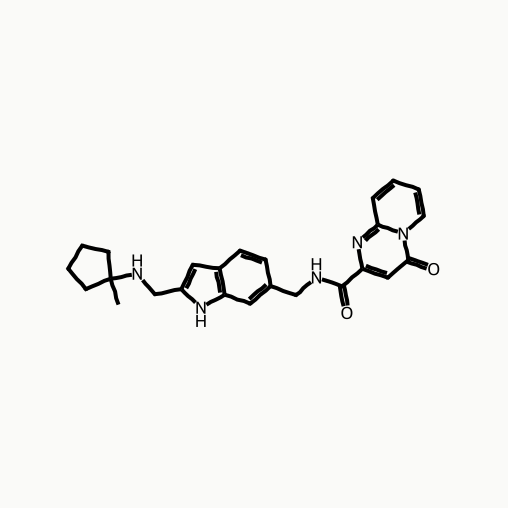 CC1(NCc2cc3ccc(CNC(=O)c4cc(=O)n5ccccc5n4)cc3[nH]2)CCCC1